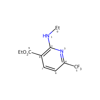 CCNc1nc(C(F)(F)F)ccc1C(=O)OCC